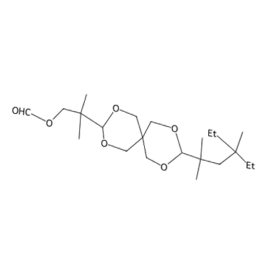 CCC(C)(CC)CC(C)(C)C1OCC2(COC(C(C)(C)COC=O)OC2)CO1